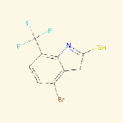 FC(F)(F)c1ccc(Br)c2c1N=C(S)C2